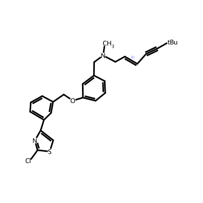 CN(C/C=C/C#CC(C)(C)C)Cc1cccc(OCc2cccc(-c3csc(Cl)n3)c2)c1